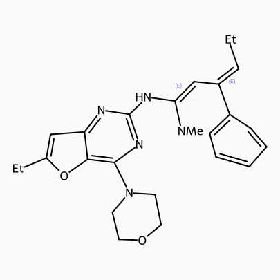 CC/C=C(\C=C(/NC)Nc1nc(N2CCOCC2)c2oc(CC)cc2n1)c1ccccc1